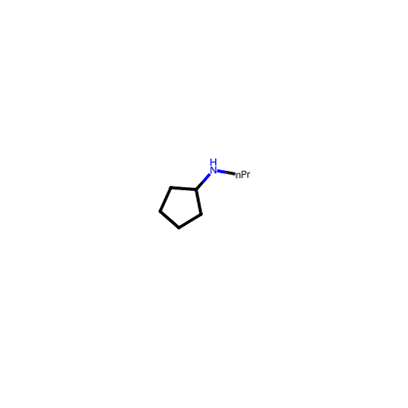 CCCNC1CCCC1